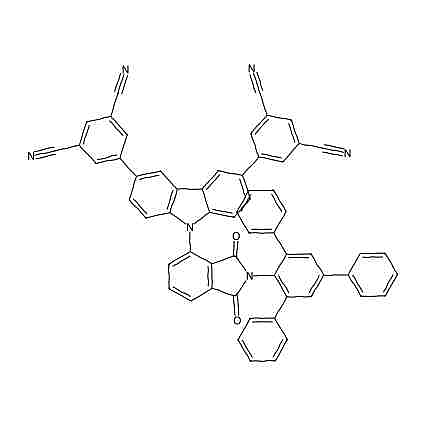 N#Cc1cc(C#N)cc(-c2ccc3c(c2)c2cc(-c4cc(C#N)cc(C#N)c4)ccc2n3-c2cccc3c2C(=O)N(c2c(-c4ccccc4)cc(-c4ccccc4)cc2-c2ccccc2)C3=O)c1